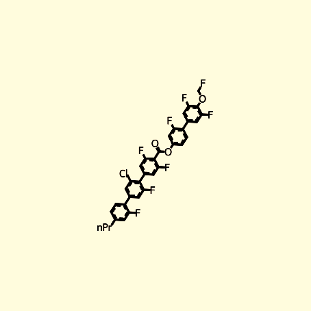 CCCc1ccc(-c2cc(F)c(-c3cc(F)c(C(=O)Oc4ccc(-c5cc(F)c(OCF)c(F)c5)c(F)c4)c(F)c3)c(Cl)c2)c(F)c1